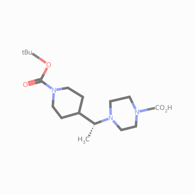 C[C@H](C1CCN(C(=O)OC(C)(C)C)CC1)N1CCN(C(=O)O)CC1